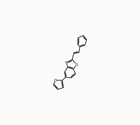 C(=C\c1nc2cc(-c3ccco3)ccc2o1)/c1ccccc1